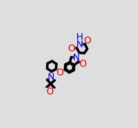 O=C1CCC(N2Cc3cc(OC4CCCCC4N4CC5(COC5)C4)ccc3C2=O)C(=O)N1